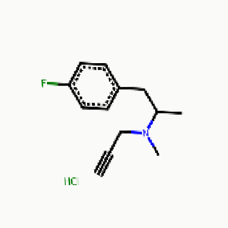 C#CCN(C)C(C)Cc1ccc(F)cc1.Cl